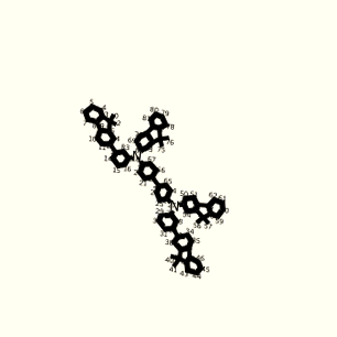 CC1(C)c2ccccc2-c2ccc(-c3cccc(N(c4ccc(-c5ccc(N(c6cccc(-c7ccc8c(c7)C(C)(C)c7ccccc7-8)c6)c6ccc7c(c6)C(C)(C)c6ccccc6-7)cc5)cc4)c4ccc5c(c4)C(C)(C)c4ccccc4-5)c3)cc21